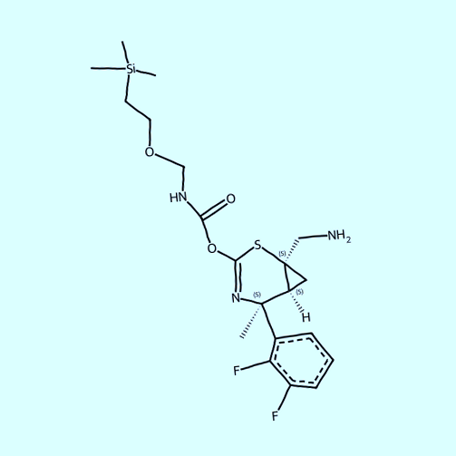 C[C@]1(c2cccc(F)c2F)N=C(OC(=O)NCOCC[Si](C)(C)C)S[C@@]2(CN)C[C@H]21